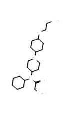 CCCOC1CCC(N2CCC(N(C(=O)CO)C3CCCCC3)CC2)CC1